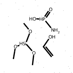 C=CO.CO[SiH](OC)OC.N[PH](=O)O